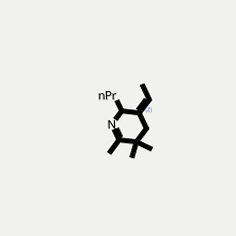 C/C=C1/CC(C)(C)C(C)=NC1CCC